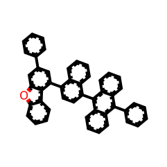 c1ccc(-c2cc(-c3ccc(-c4c5ccccc5c(-c5ccccc5)c5ccccc45)c4ccccc34)c3c(c2)oc2ccccc23)cc1